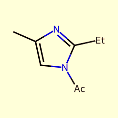 CCc1nc(C)cn1C(C)=O